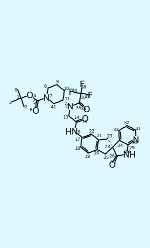 CC(C)(C)OC(=O)N1CCC[C@H](N(CC(=O)Nc2ccc3c(c2)C[C@@]2(C3)C(=O)Nc3ncccc32)C(=O)C(F)(F)F)C1